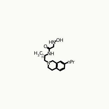 CCCc1ccc2c(c1)CN(C[C@H](C)NC(=O)CNO)CC2